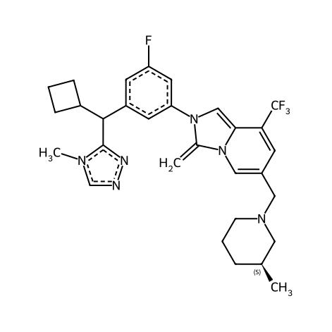 C=C1N2C=C(CN3CCC[C@H](C)C3)C=C(C(F)(F)F)C2=CN1c1cc(F)cc(C(c2nncn2C)C2CCC2)c1